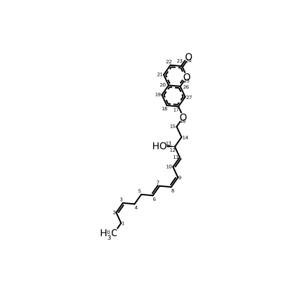 CC/C=C\CC/C=C/C=C\C=C\[C@@H](O)CCOc1ccc2ccc(=O)oc2c1